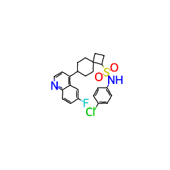 O=S(=O)(Nc1ccc(Cl)cc1)C1CCC12CCC(c1ccnc3ccc(F)cc13)CC2